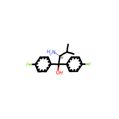 CC(C)[C@@H](N)C(O)(c1ccc(F)cc1)c1ccc(F)cc1